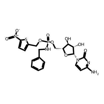 Nc1ccn([C@@H]2O[C@H](COP(=O)(NCc3ccccc3)OCc3ccc([N+](=O)[O-])s3)[C@@H](O)[C@@H]2O)c(=O)n1